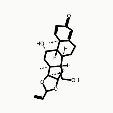 C=CC1OC2C[C@H]3[C@@H]4CCC5=CC(=O)C=C[C@]5(C)C4(F)[C@@H](O)C[C@]3(C)[C@]2(C(=O)CO)O1